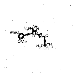 COc1cc(C#Cc2nn(C3CN(C(=O)C#CC(C)(C)O)C3)c3ncnc(N)c23)cc(OC)c1